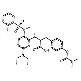 CCN(CC)c1ncc(N(C)S(=O)(=O)c2ccccc2F)c(NC(Cc2ccc(OC(=O)N(C)C)cc2)C(=O)O)n1